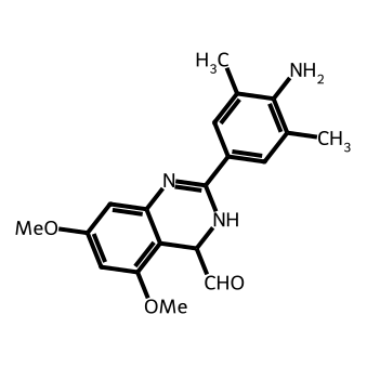 COc1cc2c(c(OC)c1)C(C=O)NC(c1cc(C)c(N)c(C)c1)=N2